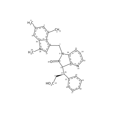 Cc1cc(C)c2c(CN3C(=O)C([C@H](CC(=O)O)c4ccccc4)c4ncccc43)cn(C)c2c1